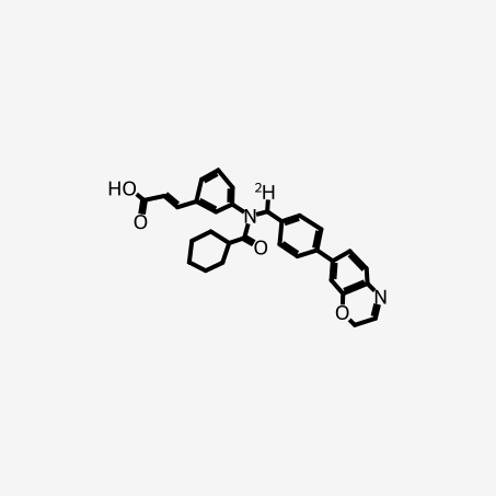 [2H]C(c1ccc(-c2ccc3c(c2)OCC=N3)cc1)N(C(=O)C1CCCCC1)c1cccc(/C=C/C(=O)O)c1